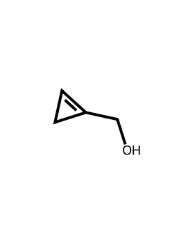 OCC1=CC1